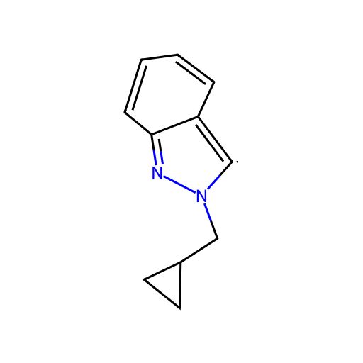 [c]1c2ccccc2nn1CC1CC1